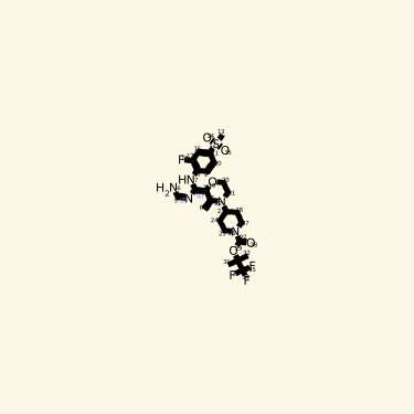 C=C1/C(=C(\N=C/N)Nc2ccc(S(C)(=O)=O)cc2F)OCCN1C1CCN(C(=O)OC(C)(C)C(F)(F)F)CC1